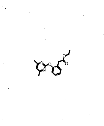 CCOC(=O)Cc1ccccc1Oc1nc(C)cc(C)n1